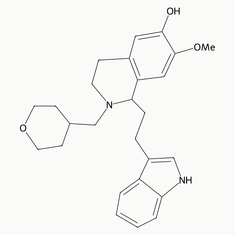 COc1cc2c(cc1O)CCN(CC1CCOCC1)C2CCc1c[nH]c2ccccc12